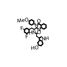 COc1ccc(-n2c(C(Cc3cc(F)cc(F)c3)NC(=O)Cc3c[nH]c4ccc(O)cc34)nc3ccccc3c2=O)cc1